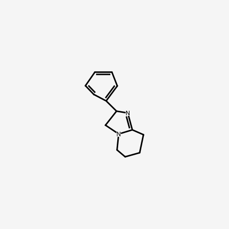 c1ccc(C2CN3CCCCC3=N2)cc1